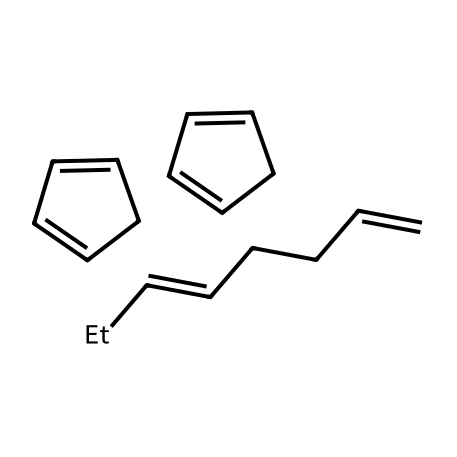 C1=CCC=C1.C1=CCC=C1.C=CCCC=CCC